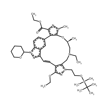 CCOC(=O)c1nn(C)c2c1-c1ccc3c(c1)c(nn3C1CCCCO1)/C=C/c1c(OCC)nn(CCO[Si](C)(C)C(C)(C)C)c1CN(CC)C[C@H](C)O2